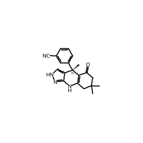 CC1(C)CC(=O)C2=C(C1)Nc1n[nH]cc1[C@]2(C)c1cccc(C#N)c1